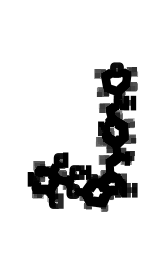 CC(Oc1ccc2[nH]nc(/C=C(\F)c3ccc(CNC4CCOCC4)nc3)c2c1)c1c(Cl)cncc1Cl